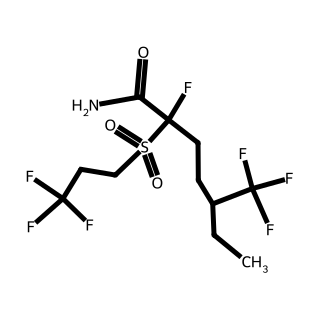 CCC(CCC(F)(C(N)=O)S(=O)(=O)CCC(F)(F)F)C(F)(F)F